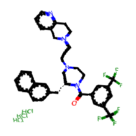 Cl.Cl.Cl.O=C(c1cc(C(F)(F)F)cc(C(F)(F)F)c1)N1CCN(CCN2CCc3ncccc3C2)C[C@H]1Cc1ccc2ccccc2c1